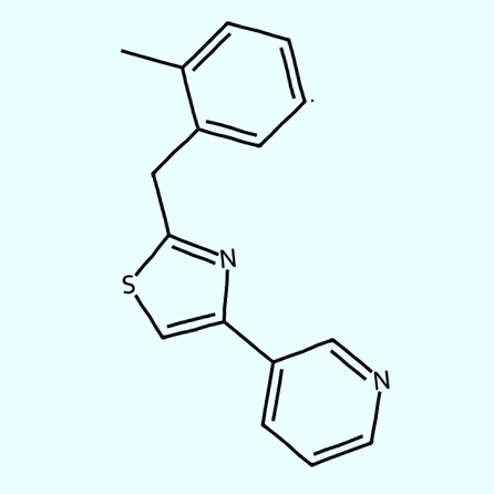 Cc1cc[c]cc1Cc1nc(-c2cccnc2)cs1